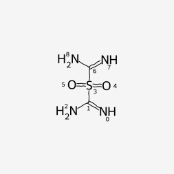 N=C(N)S(=O)(=O)C(=N)N